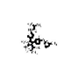 C=C(C)C(=O)Nc1ccc(C2=C(c3ccc(Oc4nccc(C)n4)c(F)c3)/C(=C(\N)C(C)C)C(=N)N2C)cc1